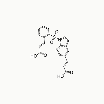 O=C(O)C=Cc1cnc2c(ccn2S(=O)(=O)c2ccccc2C=CC(=O)O)c1